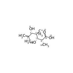 C=C(C)[C@H](O)[C@@H](C)[C@@H](O)[C@@H](C)C(=O)O